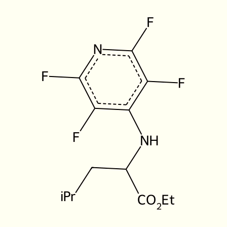 CCOC(=O)C(CC(C)C)Nc1c(F)c(F)nc(F)c1F